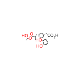 C=C(C)C(=O)OC(C)O.O=C(O)Cc1ccccc1.Oc1ccccc1O